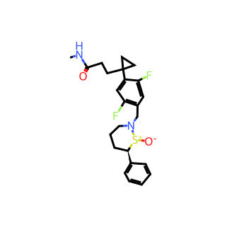 CNC(=O)CCC1(c2cc(F)c(CN3CCC[C@H](c4ccccc4)[S+]3[O-])cc2F)CC1